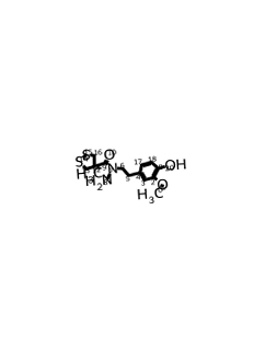 COc1cc(CCN(N)C(=O)C2(C)CSSC2)ccc1O